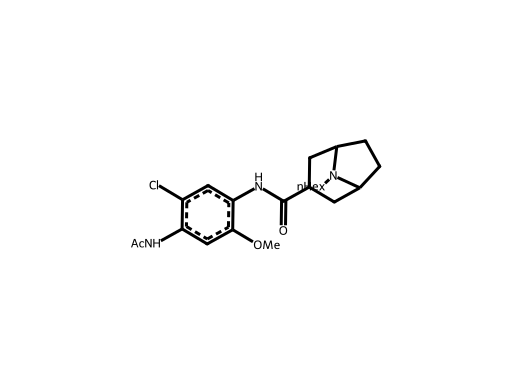 CCCCCCN1C2CCC1CC(C(=O)Nc1cc(Cl)c(NC(C)=O)cc1OC)C2